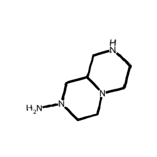 NN1CCN2CCNCC2C1